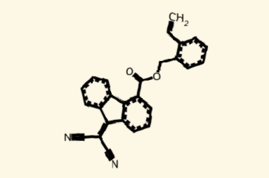 C=Cc1ccccc1COC(=O)c1cccc2c1-c1ccccc1C2=C(C#N)C#N